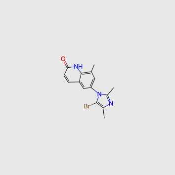 Cc1nc(C)n(-c2cc(C)c3[nH]c(=O)ccc3c2)c1Br